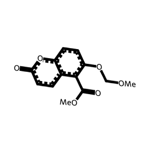 COCOc1ccc2oc(=O)ccc2c1C(=O)OC